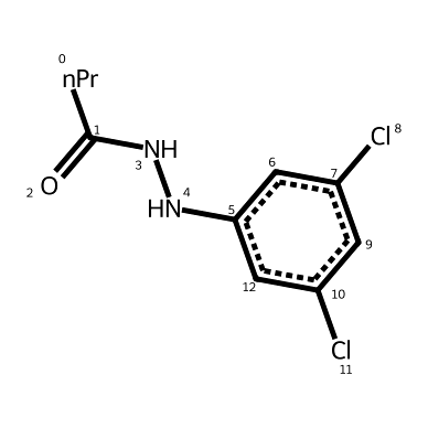 CCCC(=O)NNc1cc(Cl)cc(Cl)c1